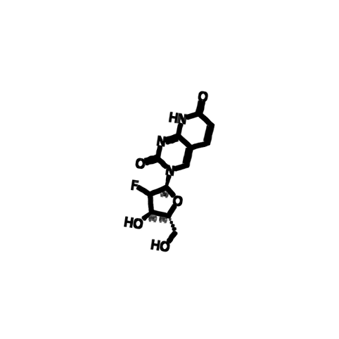 O=c1ccc2cn([C@H]3O[C@H](CO)[C@@H](O)C3F)c(=O)nc2[nH]1